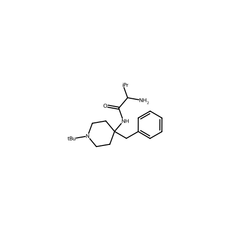 CC(C)C(N)C(=O)NC1(Cc2ccccc2)CCN(C(C)(C)C)CC1